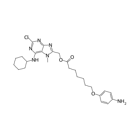 Cn1c(COC(=O)CCCCCCOc2ccc(N)cc2)nc2nc(Cl)nc(NC3CCCCC3)c21